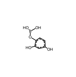 OB(O)Oc1ccc(O)cc1O